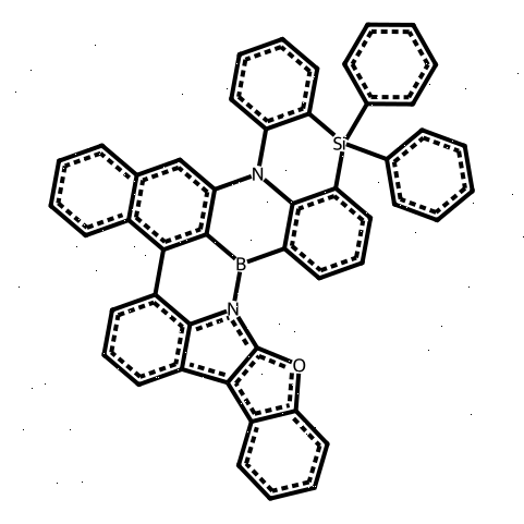 c1ccc([Si]2(c3ccccc3)c3ccccc3N3c4cc5ccccc5c5c4B(c4cccc2c43)n2c3oc4ccccc4c3c3cccc-5c32)cc1